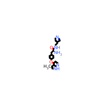 Cc1c[nH]c2nccc(Oc3ccc(C[C@H](N)C(=O)NCCc4ccncc4)cc3)c12